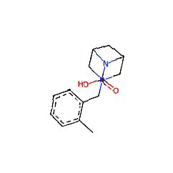 Cc1ccccc1CN1CC2CC(C1)N2C(=O)O